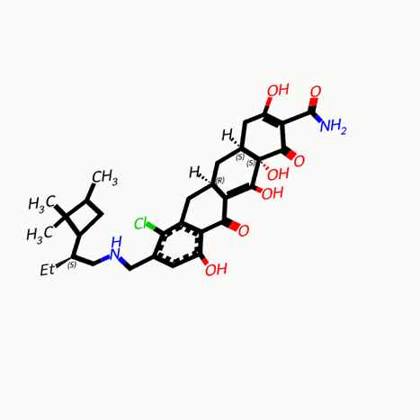 CC[C@H](CNCc1cc(O)c2c(c1Cl)C[C@H]1C[C@H]3CC(O)=C(C(N)=O)C(=O)[C@@]3(O)C(O)=C1C2=O)C1CC(C)C1(C)C